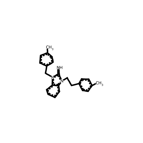 Cc1ccc(CCn2c(=N)n(Cc3ccc(C)cc3)c3ccccc32)cc1